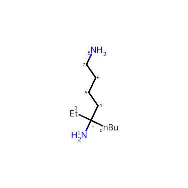 CCCCC(N)(CC)CCCCN